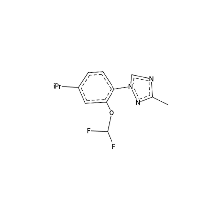 Cc1ncn(-c2ccc(C(C)C)cc2OC(F)F)n1